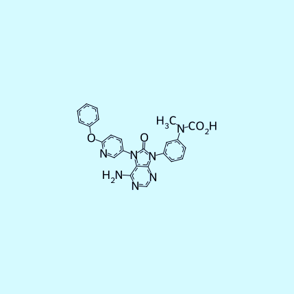 CN(C(=O)O)c1cccc(-n2c(=O)n(-c3ccc(Oc4ccccc4)nc3)c3c(N)ncnc32)c1